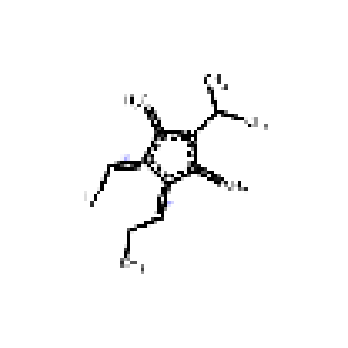 C=c1c(=C/C)/c(=C\CC)c(=C)n1C(C)C